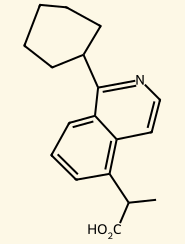 CC(C(=O)O)c1cccc2c(C3CCCCC3)nccc12